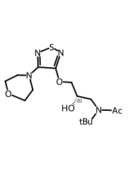 CC(=O)N(C[C@H](O)COc1nsnc1N1CCOCC1)C(C)(C)C